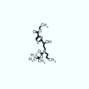 CCCN(CCC(O)c1nc(C(=O)OCC)cs1)C(=O)OC(C)(C)C